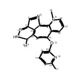 [2H]C1NN=c2cnc3c4c(c(Oc5cccc(C)n5)cc1c2-3)=CC=CN4C